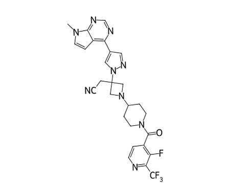 Cn1ccc2c(-c3cnn(C4(CC#N)CN(C5CCN(C(=O)c6ccnc(C(F)(F)F)c6F)CC5)C4)c3)ncnc21